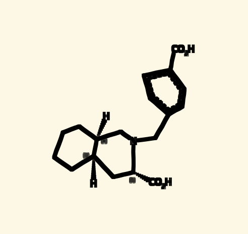 O=C(O)c1ccc(CN2C[C@@H]3CCCC[C@@H]3C[C@H]2C(=O)O)cc1